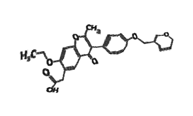 CCOc1cc2oc(C)c(-c3ccc(OCC4CCCOC4)cc3)c(=O)c2cc1CC(=O)O